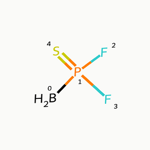 BP(F)(F)=S